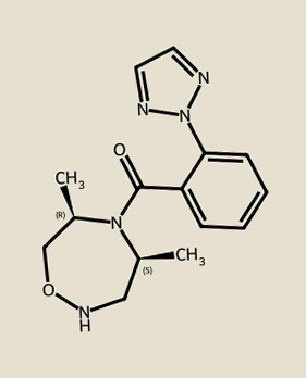 C[C@@H]1CONC[C@H](C)N1C(=O)c1ccccc1-n1nccn1